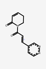 O=C1C=CCCN1C(=O)/C=C/c1ccnnc1